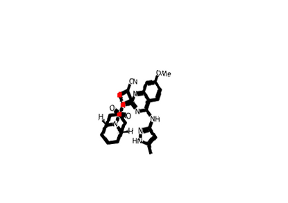 COc1ccc2c(Nc3cc(C)[nH]n3)nc(N(C)[C@@H]3C[C@H]4CCC[C@@H](C3)N4S(=O)(=O)N3CC(C#N)C3)nc2c1